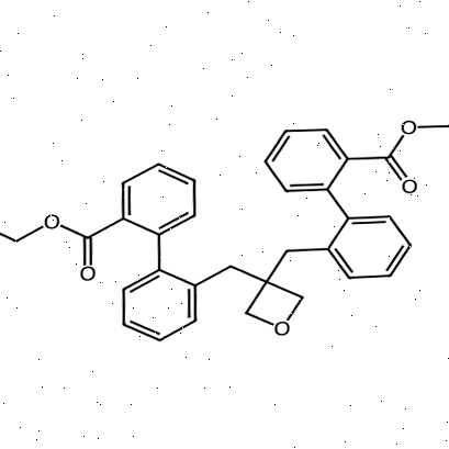 CCOC(=O)c1ccccc1-c1ccccc1CC1(Cc2ccccc2-c2ccccc2C(=O)OCC)COC1